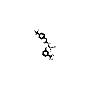 O=C(Cc1ccc(C(F)(F)F)cc1)N[C@@H](Cc1cccc(C(=O)O)c1)B(O)O